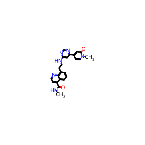 CNC(=O)c1ccnc2c(CCNc3cc(-c4ccn(C)c(=O)c4)ncn3)cccc12